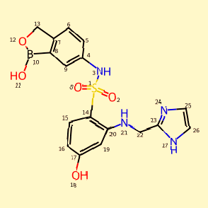 O=S(=O)(Nc1ccc2c(c1)B(O)OC2)c1ccc(O)cc1NCc1ncc[nH]1